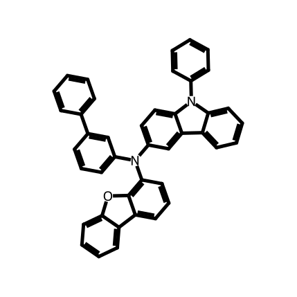 c1ccc(-c2cccc(N(c3ccc4c(c3)c3ccccc3n4-c3ccccc3)c3cccc4c3oc3ccccc34)c2)cc1